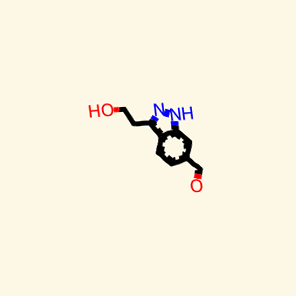 O=Cc1ccc2c(CCO)n[nH]c2c1